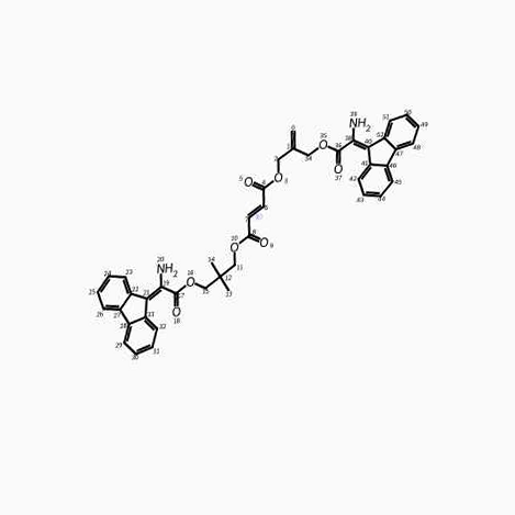 C=C(COC(=O)/C=C/C(=O)OCC(C)(C)COC(=O)C(N)=C1c2ccccc2-c2ccccc21)COC(=O)C(N)=C1c2ccccc2-c2ccccc21